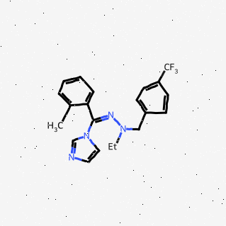 CCN(Cc1ccc(C(F)(F)F)cc1)N=C(c1ccccc1C)n1ccnc1